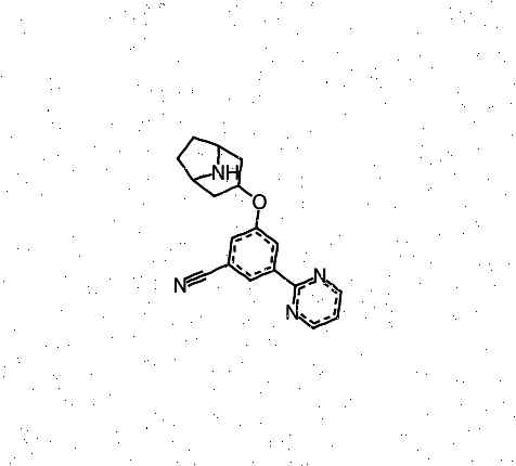 N#Cc1cc(OC2CC3CCC(C2)N3)cc(-c2ncccn2)c1